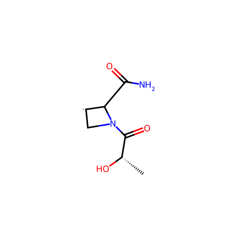 C[C@H](O)C(=O)N1C[CH]C1C(N)=O